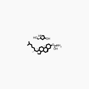 CC(C)CCC[C@@H](C)[C@H]1CCC2C3CC=C4CC(OP(N)O)CC[C@]4(C)C3CC[C@@]21C.OC[C@@H]1CC(O)CN1